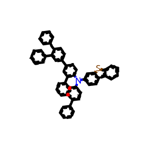 c1ccc(-c2ccc(N(c3ccc4c(c3)sc3ccccc34)c3ccc(-c4ccc(-c5ccccc5)c(-c5ccccc5)c4)cc3-c3ccccc3)cc2)cc1